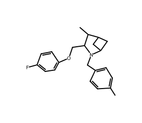 Cc1ccc(CN2C3CC(C3)C(C)C2COc2ccc(F)cc2)cc1